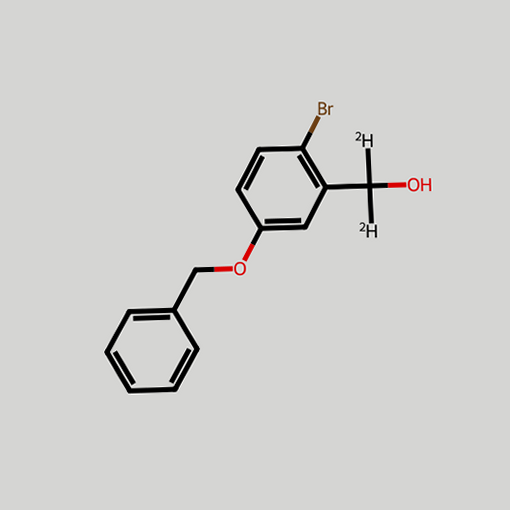 [2H]C([2H])(O)c1cc(OCc2ccccc2)ccc1Br